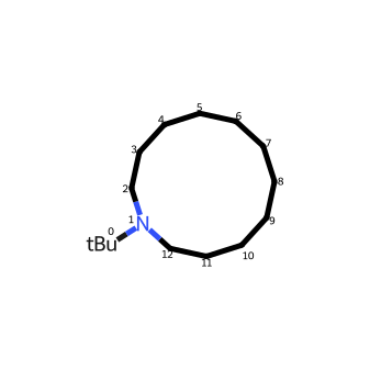 CC(C)(C)N1CCCCCCCCCCC1